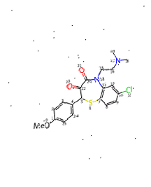 COc1ccc(C2Sc3ccc(Cl)cc3N(CCN(C)C)C(=O)C2=O)cc1